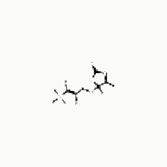 CC1OC(=O)OC1(C)OC/C(F)=C(\F)[Si](C)(C)I